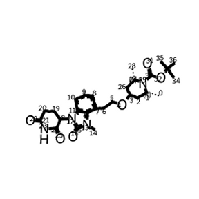 C[C@@H]1CC(OCCc2cccc3c2n(C)c(=O)n3C2CCC(=O)NC2=O)C[C@H](C)N1C(=O)OC(C)(C)C